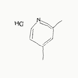 Cc1ccnc(C)c1.Cl